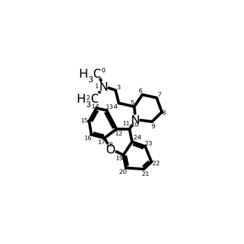 CN(C)CCC1CCCCN1C1c2ccccc2Oc2ccccc21